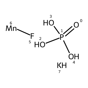 O=P(O)(O)O.[F][Mn].[KH]